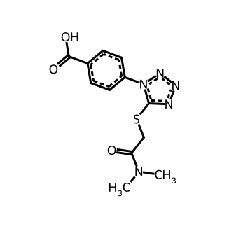 CN(C)C(=O)CSc1nnnn1-c1ccc(C(=O)O)cc1